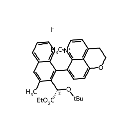 CCOC(=O)[C@@H](OC(C)(C)C)c1c(C)cc2ccccc2c1-c1ccc2c3c(cc[n+](C)c13)CCO2.[I-]